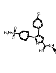 N#CNC(=N)c1cc(-c2ccc(Cl)cc2)n(-c2ccc(S(N)(=O)=O)cc2)n1